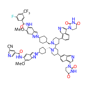 COc1cc2nn([C@H]3CC[C@H](CN4CCC(c5ccc6c(N7CCC(=O)NC7=O)cncc6c5)CC4C4CC(c5cccc6c(N7CCC(=O)NC7=O)cncc56)CCN4C[C@H]4CC[C@H](n5cc6cc(NC(=O)c7cc(F)cc(C(F)(F)F)c7)c(OC)cc6n5)CC4)CC3)cc2cc1NC(=O)c1cncc(C#N)c1